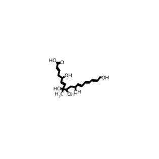 CC(O)(C=CC(O)CC=CC(=O)O)C(O)CC(O)C=CC=CC=CCO